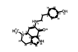 C[N+]1=C2C=C(NCCc3ccc(O)cc3)C(=O)c3[nH]cc(c32)CC1